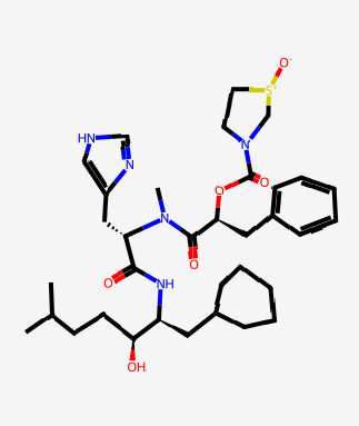 CC(C)CC[C@H](O)[C@H](CC1CCCCC1)NC(=O)[C@H](Cc1c[nH]cn1)N(C)C(=O)[C@H](Cc1ccccc1)OC(=O)N1CC[S+]([O-])C1